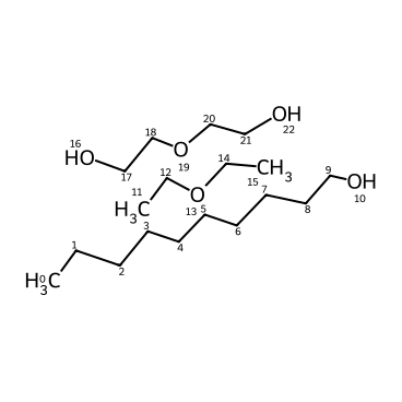 CCCCCCCCCCO.CCOCC.OCCOCCO